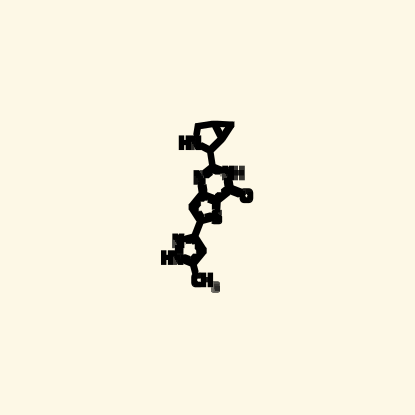 Cc1cc(-c2cc3nc(C4NCC5CC54)[nH]c(=O)c3s2)n[nH]1